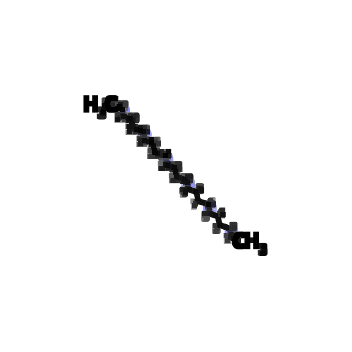 C/C=C/CC/C=C/CC/C=C/CC/C=C/CC/C=C/CC/C=C/C